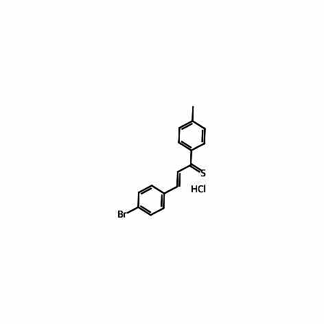 Cc1ccc(C(=S)C=Cc2ccc(Br)cc2)cc1.Cl